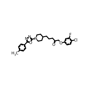 Cc1ccc(-c2nnc(N3CCC(CCCC(=O)COc4ccc(Cl)c(F)c4)CC3)o2)cc1